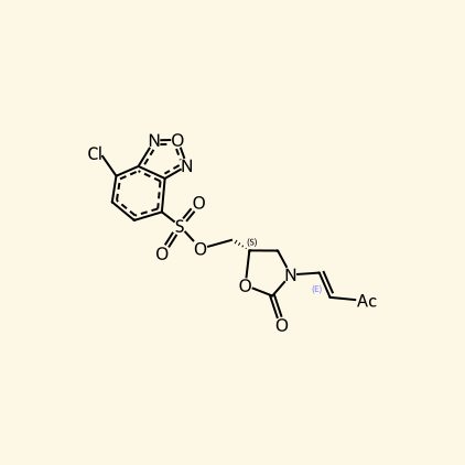 CC(=O)/C=C/N1C[C@@H](COS(=O)(=O)c2ccc(Cl)c3nonc23)OC1=O